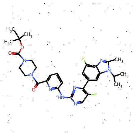 Cc1nc2c(F)cc(-c3nc(Nc4cccc(C(=O)N5CCN(C(=O)OC(C)(C)C)CC5)n4)ncc3F)cc2n1C(C)C